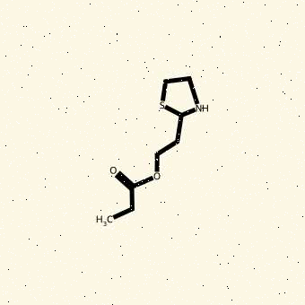 CCC(=O)OCCC1NCCS1